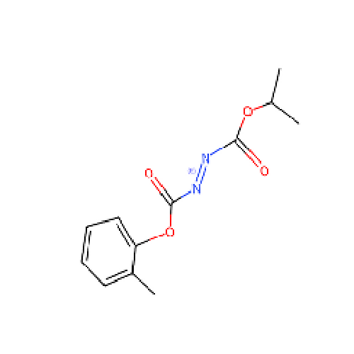 Cc1ccccc1OC(=O)/N=N/C(=O)OC(C)C